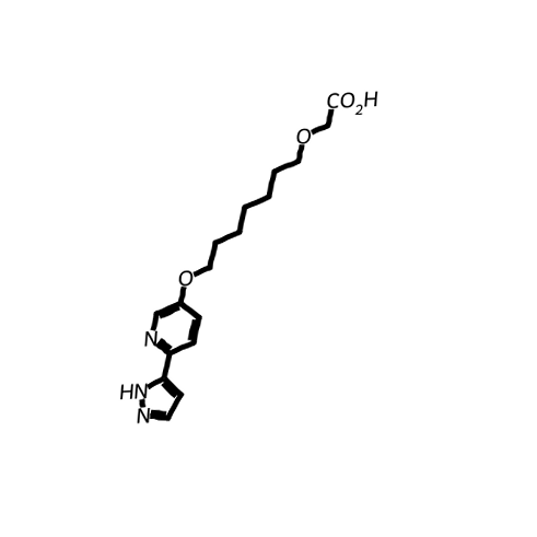 O=C(O)COCCCCCCCOc1ccc(-c2ccn[nH]2)nc1